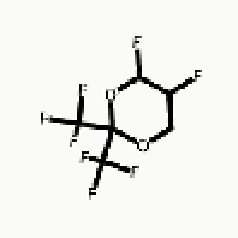 FC1COC(C(F)(F)F)(C(F)(F)F)OC1F